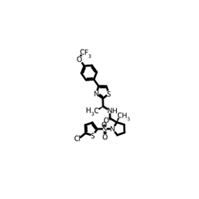 C[C@H](NC(=O)[C@]1(C)CCCN1S(=O)(=O)c1ccc(Cl)s1)c1nc(-c2ccc(OC(F)(F)F)cc2)cs1